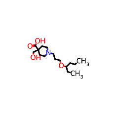 CCCC(CC)OCCCN1CCC(CO)(C(=O)O)CC1